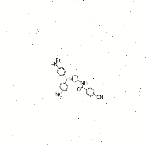 CCN(C)c1ccc([C@@H](c2ccc(C#N)cc2)N2CCC(NC(=O)c3ccc(C#N)cc3)C2)cc1